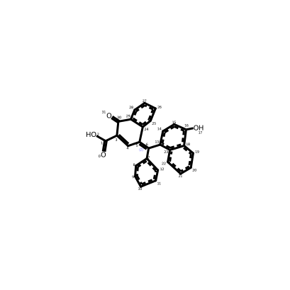 O=C(O)C1=C/C(=C(\c2ccccc2)c2ccc(O)c3ccccc23)c2ccccc2C1=O